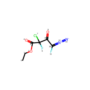 CCOC(=O)C(F)(Cl)C(=O)C(F)=[N+]=[N-]